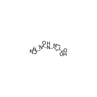 CN(Cc1ccnn1C)C(=O)CNCc1cc(C(=O)O)ccn1